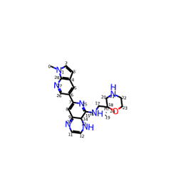 Cn1ccc2cc(C3=CC4=NC=CNC4C(NC[C@@]4(C)CNCCO4)=N3)cnc21